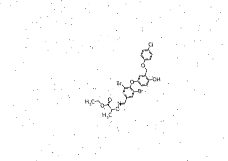 CCOC(=O)C(C)ON=Cc1cc(Br)c(Oc2ccc(O)c(COc3ccc(Cl)cc3)c2)c(Br)c1